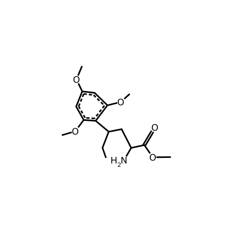 CCC(CC(N)C(=O)OC)c1c(OC)cc(OC)cc1OC